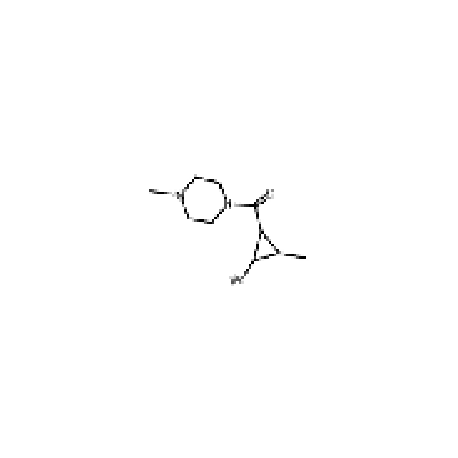 CC(C)C1C(C)C1C(=O)N1CCN(C)CC1